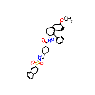 COc1ccc2c(c1)CC[C@@H](NC(=O)[C@H]1CC[C@@H](CNS(=O)(=O)c3ccc4ccccc4c3)CC1)C2c1ccccc1